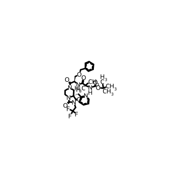 CC(C)(C)OC(=O)NC(C)(C)C(=O)N[C@H](COCc1ccccc1)C(=O)N1CCN2C(=O)N(CC(F)(F)F)C(=O)[C@]2(Cc2ccccn2)C1